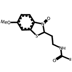 COc1ccc2c(c1)SC(CCNC(=O)C(C)C)[N+]2=O